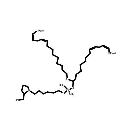 CCCCC/C=C\C/C=C\CCCCCCCCOC(CCCCCCC/C=C\C/C=C\CCCCC)O[Si](C)(C)OCCCCCCN1CCCC1CO